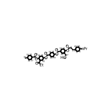 CCCc1ccc(CCC(=O)Oc2ccc(C(=O)Oc3ccc(C(=O)Oc4ccc(OC(=O)c5ccc(C)cc5)c(C(=O)CC)c4)cc3)cc2CO)cc1